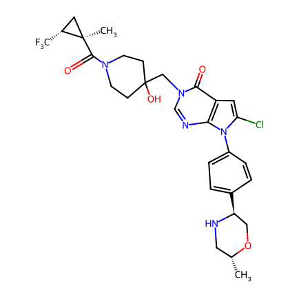 C[C@@H]1CN[C@@H](c2ccc(-n3c(Cl)cc4c(=O)n(CC5(O)CCN(C(=O)[C@]6(C)C[C@H]6C(F)(F)F)CC5)cnc43)cc2)CO1